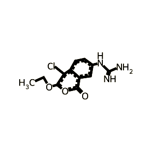 CCOc1oc(=O)c2cc(NC(=N)N)ccc2c1Cl